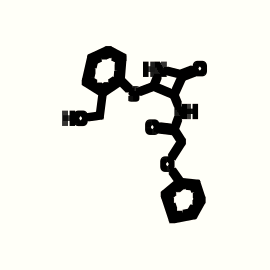 O=C(COc1ccccc1)NC1C(=O)NC1Sc1ccccc1CO